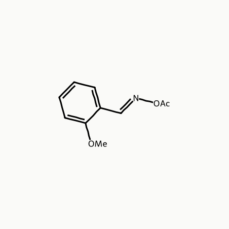 COc1ccccc1C=NOC(C)=O